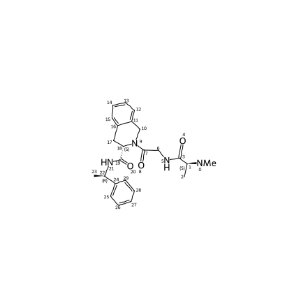 CN[C@@H](C)C(=O)NCC(=O)N1Cc2ccccc2C[C@H]1C(=O)N[C@H](C)c1ccccc1